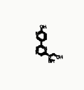 CCCN(CO)c1cncc(-c2ccc(O)nc2)n1